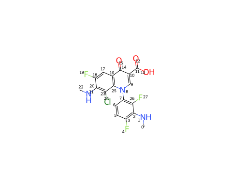 CNc1c(F)ccc(-n2cc(C(=O)O)c(=O)c3cc(F)c(NC)c(Cl)c32)c1F